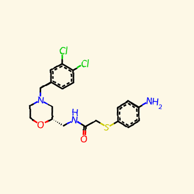 Nc1ccc(SCC(=O)NC[C@H]2CN(Cc3ccc(Cl)c(Cl)c3)CCO2)cc1